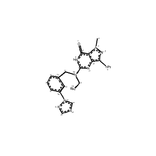 CCCc1nn(C)c2c(=O)[nH]c(N(Cc3cccc(-n4cncn4)c3)CC(C)CC)nc12